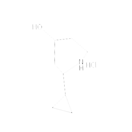 Cl.OC1CCNC(C2CC2)C1